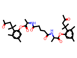 CC(=O)CC(C)(C)c1c(C)cc(C)cc1OC(=O)C(C)NC(=O)CCCC(=O)NC(C)C(=O)Oc1cc(C)cc(C)c1C(C)(C)CC(C)=O